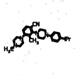 Cc1c(N2CCN(C)CC2)ccc(C#N)c1N1CCN(c2ccc(C(C)C)cc2)CC1